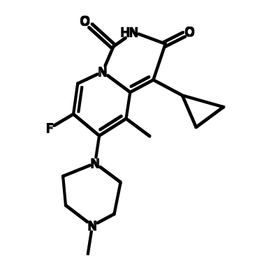 Cc1c(N2CCN(C)CC2)c(F)cn2c(=O)[nH]c(=O)c(C3CC3)c12